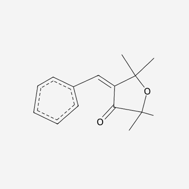 CC1(C)OC(C)(C)C(=Cc2ccccc2)C1=O